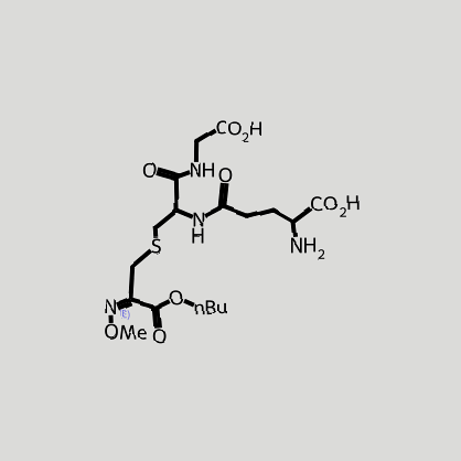 CCCCOC(=O)/C(CSCC(NC(=O)CCC(N)C(=O)O)C(=O)NCC(=O)O)=N\OC